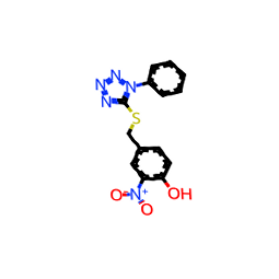 O=[N+]([O-])c1cc(CSc2nnnn2-c2ccccc2)ccc1O